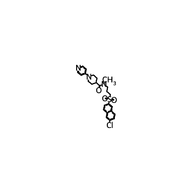 CN(CCCS(=O)(=O)c1ccc2cc(Cl)ccc2c1)C(=O)C1CCN(c2ccncc2)CC1